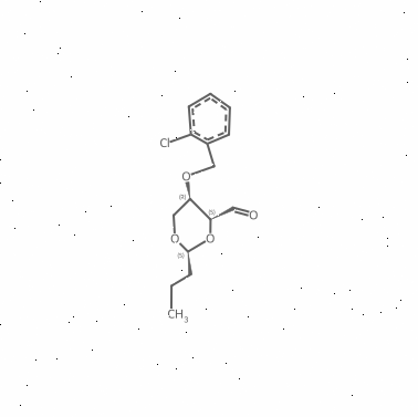 CCC[C@H]1OC[C@@H](OCc2ccccc2Cl)[C@@H](C=O)O1